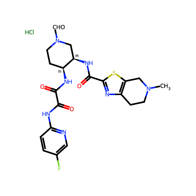 CN1CCc2nc(C(=O)N[C@@H]3CN(C=O)CC[C@@H]3NC(=O)C(=O)Nc3ccc(F)cn3)sc2C1.Cl